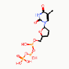 Cc1cn(C2CCC(COP(O)OP(O)OP(=O)(O)O)O2)c(=O)[nH]c1=O